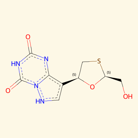 O=c1nc2c([C@H]3CS[C@@H](CO)O3)c[nH]n2c(=O)[nH]1